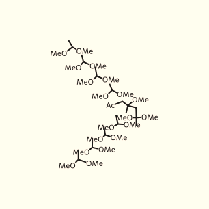 COC(C)(CC(C)=O)CC(C)(OC)OC.COC(C)OC.COC(C)OC.COC(C)OC.COC(C)OC.COC(C)OC.COC(C)OC.COC(C)OC.COC(C)OC